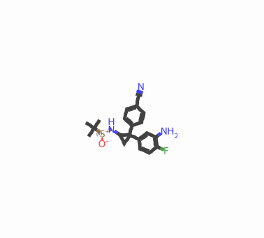 CC(C)(C)[S@+]([O-])NC1CC1(c1ccc(C#N)cc1)c1ccc(F)c(N)c1